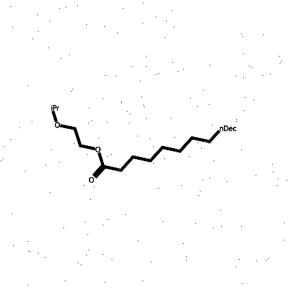 CCCCCCCCCCCCCCCCCC(=O)OCCOC(C)C